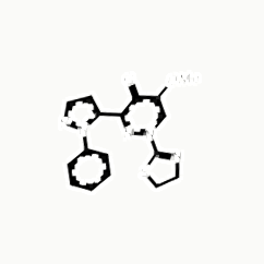 COc1cn(C2=NCCS2)nc(-c2ccnn2-c2ccccc2)c1=O